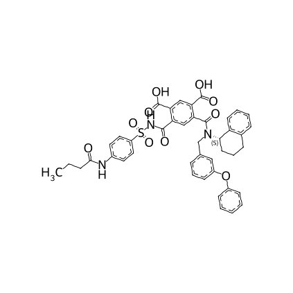 CCCC(=O)Nc1ccc(S(=O)(=O)NC(=O)c2cc(C(=O)N(Cc3cccc(Oc4ccccc4)c3)[C@H]3CCCc4ccccc43)c(C(=O)O)cc2C(=O)O)cc1